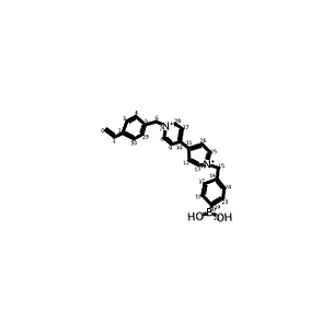 C=Cc1ccc(C[n+]2ccc(-c3cc[n+](Cc4ccc(B(O)O)cc4)cc3)cc2)cc1